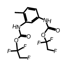 Cc1ccc(NC(=O)OC(F)(F)CF)cc1NC(=O)OC(F)(F)CF